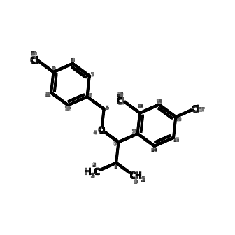 CC(C)C(OCc1ccc(Cl)cc1)c1ccc(Cl)cc1Cl